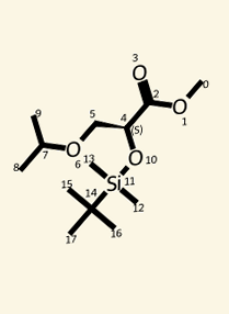 COC(=O)[C@H](COC(C)C)O[Si](C)(C)C(C)(C)C